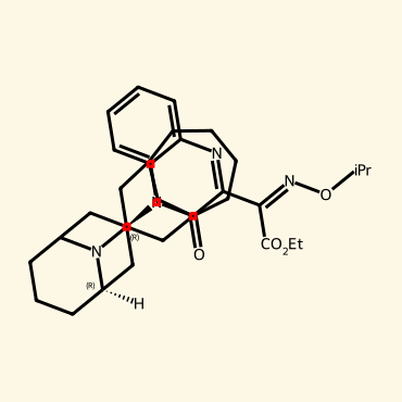 CCOC(=O)C(=NOC(C)C)c1nc2ccccc2n([C@@H]2CC3CCC[C@H](C2)N3C2CC3CCCCC(C3)C2)c1=O